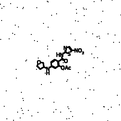 CC(=O)Oc1cc(NC2CCOC2)ccc1C(=O)Nc1ncc([N+](=O)[O-])s1